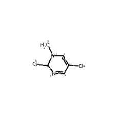 CN1C=C(Cl)C=NC1Cl